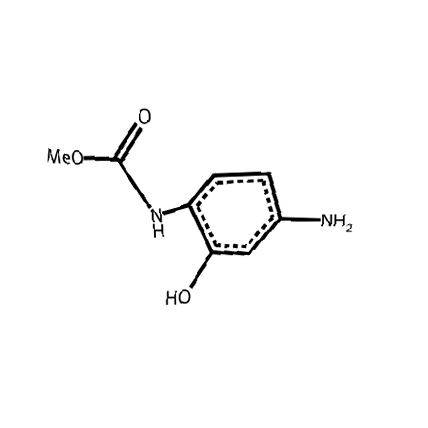 COC(=O)Nc1ccc(N)cc1O